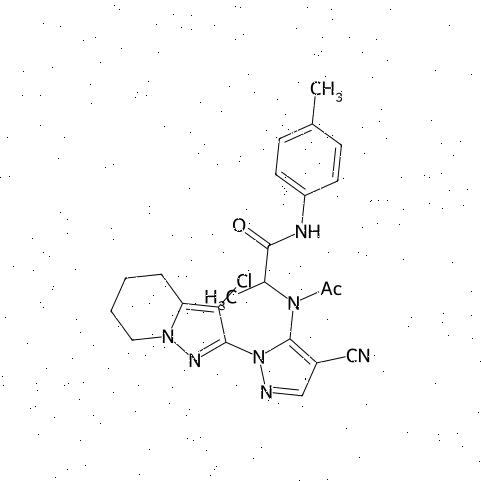 CC(=O)N(c1c(C#N)cnn1-c1nn2c(c1Cl)CCCC2)C(C)C(=O)Nc1ccc(C)cc1